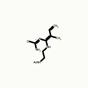 C=C/C(C)=C(\N=C(/N)Cl)NCCNC(C)=O